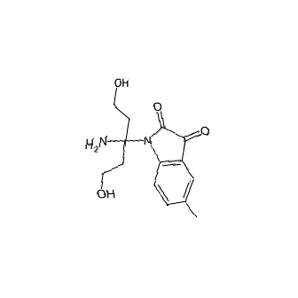 Cc1ccc2c(c1)C(=O)C(=O)N2C(N)(CCO)CCO